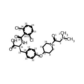 CN(C)CC(=O)N1CCC(Oc2ccc(C[C@H](NC(=O)c3c(Cl)cccc3Cl)C(=O)O)cc2)CC1